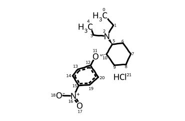 CCN(CC)[C@H]1CCCC[C@@H]1Oc1ccc([N+](=O)[O-])cc1.Cl